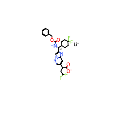 O=C(N[C@H](c1cn2ncc(C(CC(F)F)C(=O)[O-])cc2n1)C1CCC(F)(F)CC1)OCc1ccccc1.[Li+]